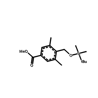 COC(=O)c1cc(C)c(CO[Si](C)(C)C(C)(C)C)c(C)c1